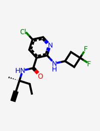 C#C[C@](C)(CC)NC(=O)c1cc(Cl)cnc1NC1CC(F)(F)C1